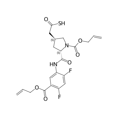 C=CCOC(=O)c1cc(NC(=O)[C@@H]2C[C@@H](CC(=O)S)CN2C(=O)OCC=C)c(F)cc1F